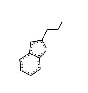 OCCc1cc2ccccc2s1